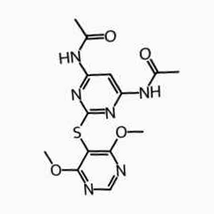 COc1ncnc(OC)c1Sc1nc(NC(C)=O)cc(NC(C)=O)n1